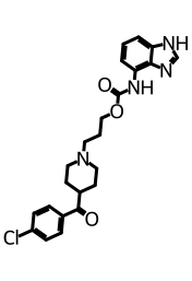 O=C(Nc1cccc2[nH]cnc12)OCCCN1CCC(C(=O)c2ccc(Cl)cc2)CC1